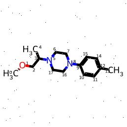 COCC(C)N1CCN(c2ccc(C)cc2)CC1